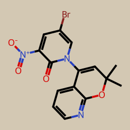 CC1(C)C=C(n2cc(Br)cc([N+](=O)[O-])c2=O)c2cccnc2O1